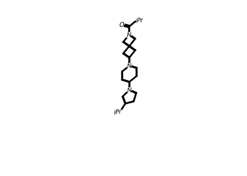 CC(C)C(=O)N1CC2(CC(N3CCC(N4CCC(C(C)C)C4)CC3)C2)C1